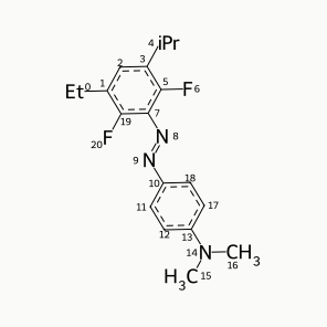 CCc1cc(C(C)C)c(F)c(/N=N/c2ccc(N(C)C)cc2)c1F